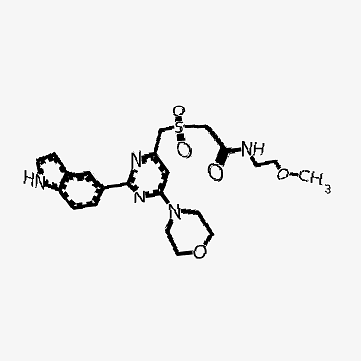 COCCNC(=O)CS(=O)(=O)Cc1cc(N2CCOCC2)nc(-c2ccc3[nH]ccc3c2)n1